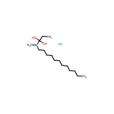 CCCCCCCCCCCCN(C)C(O)(O)CC.Cl